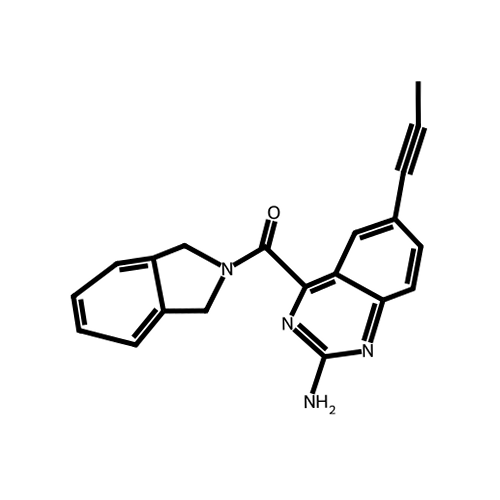 CC#Cc1ccc2nc(N)nc(C(=O)N3Cc4ccccc4C3)c2c1